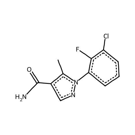 Cc1c(C(N)=O)cnn1-c1cccc(Cl)c1F